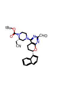 CC(C)(C)OC(=O)N1CCN(c2nc(C=O)nc3c2CC[C@@H](c2cccc4ccccc24)O3)C[C@@H]1CC#N